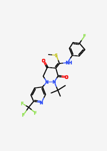 CSC(Nc1ccc(F)cc1)=C1C(=O)CN(c2ccc(C(F)(F)F)nc2)N(C(C)(C)C)C1=O